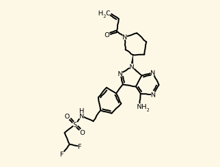 C=CC(=O)N1CCC[C@@H](n2nc(-c3ccc(CNS(=O)(=O)CC(F)F)cc3)c3c(N)ncnc32)C1